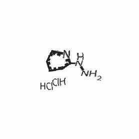 Cl.Cl.NNc1ccccn1